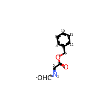 O=[C]/N=C/C(=O)OCc1ccccc1